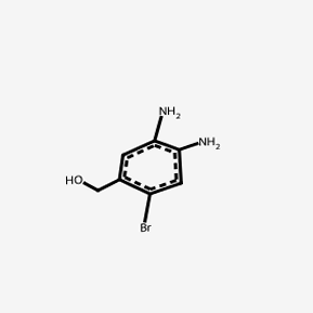 Nc1cc(Br)c(CO)cc1N